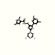 Cc1cc(-c2sc(N3C[C@@H](C)O[C@@H](C)C3)nc2CNC(=O)c2cc(C)nn2C)cc(C)n1